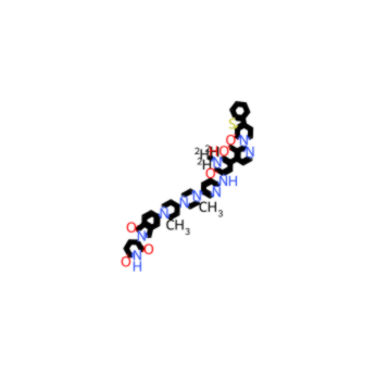 [2H]C([2H])([2H])n1cc(-c2ccnc(N3CCc4c(sc5c4CCCC5)C3=O)c2CO)cc(Nc2ccc(N3CCN([C@H]4CCN(c5ccc6c(c5)CN(C5CCC(=O)NC5=O)C6=O)[C@@H](C)C4)C[C@@H]3C)cn2)c1=O